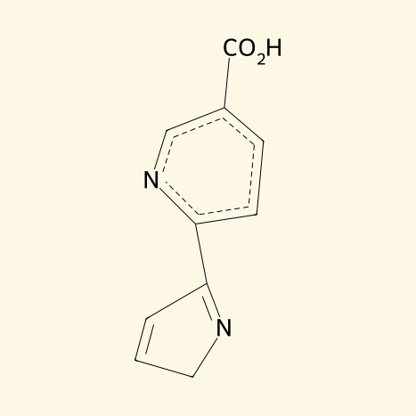 O=C(O)c1ccc(C2=NCC=C2)nc1